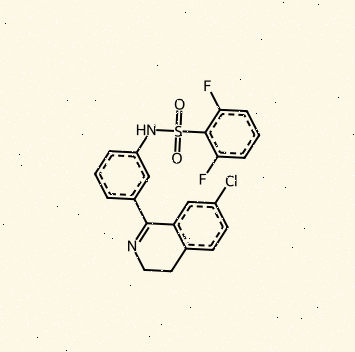 O=S(=O)(Nc1cccc(C2=NCCc3ccc(Cl)cc32)c1)c1c(F)cccc1F